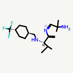 C=C(/N=C\C(C)(C)N)[C@@H](NC[C@H]1CC[C@H](C(F)(F)F)CC1)C(C)C